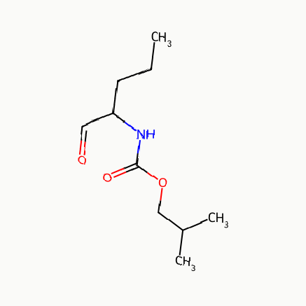 CCCC(C=O)NC(=O)OCC(C)C